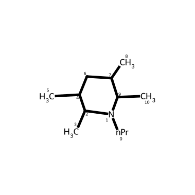 CCCN1C(C)C(C)CC(C)C1C